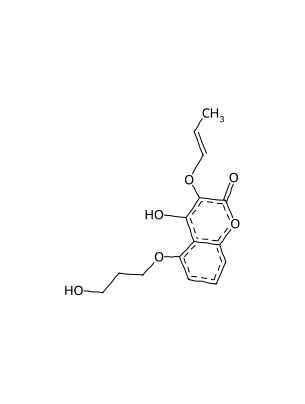 CC=COc1c(O)c2c(OCCCO)cccc2oc1=O